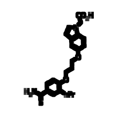 CCCc1cc(C(N)=S)ccc1OCCCOc1ccc2c(ccn2CC(=O)O)c1